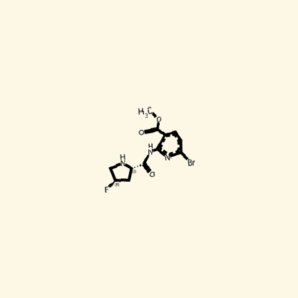 COC(=O)c1ccc(Br)nc1NC(=O)[C@@H]1C[C@@H](F)CN1